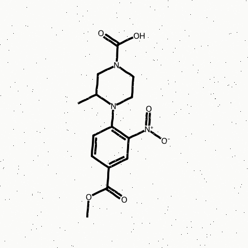 COC(=O)c1ccc(N2CCN(C(=O)O)CC2C)c([N+](=O)[O-])c1